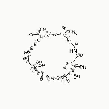 CC(=O)N1CCCCN(C(C)=O)CCCNC(=O)c2ccc(c(O)c2O)C(=O)NCCNC(=O)c2ccc(c(O)c2O)C(=O)NCCC1